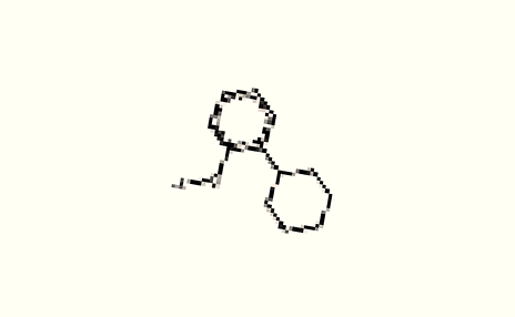 [CH2]COc1ccccc1C1CCCCC1